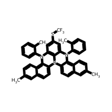 Cc1ccc2c3c(ccc2c1)B1c2ccc4cc(C)ccc4c2N(c2ccccc2C)c2cc(SC(F)(F)F)cc(c21)N3c1ccccc1C